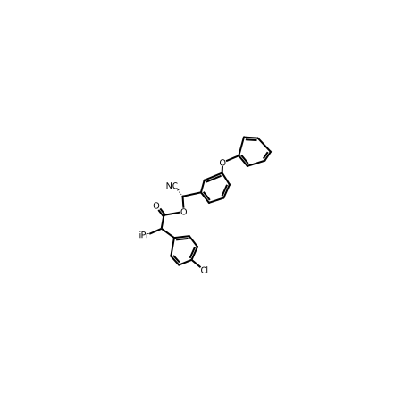 CC(C)C(C(=O)O[C@H](C#N)c1cccc(Oc2ccccc2)c1)c1ccc(Cl)cc1